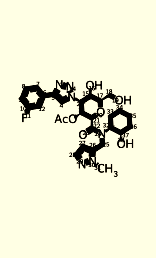 CC(=O)O[C@@H]1[C@@H](n2cc(-c3cccc(F)c3)nn2)[C@@H](O)[C@@H](CO)O[C@H]1C(=O)N(Cc1ccnn1C)[C@H]1CCCC[C@@H]1O